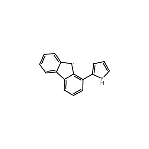 [CH]1c2ccccc2-c2cccc(-c3ccc[pH]3)c21